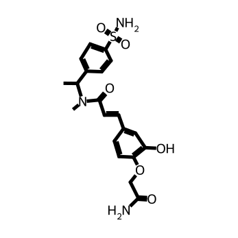 CC(c1ccc(S(N)(=O)=O)cc1)N(C)C(=O)/C=C/c1ccc(OCC(N)=O)c(O)c1